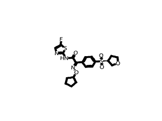 O=C(Nc1ncc(F)s1)/C(=N/OC1CCCC1)c1ccc(S(=O)(=O)[C@H]2CCOC2)cc1